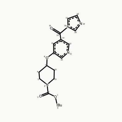 CC(C)(C)OC(=O)N1CCC(Oc2cncc(C(=O)n3ccnc3)c2)CC1